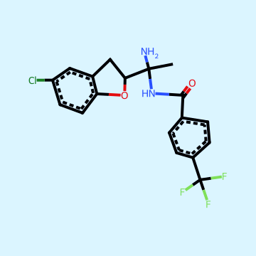 CC(N)(NC(=O)c1ccc(C(F)(F)F)cc1)C1Cc2cc(Cl)ccc2O1